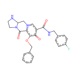 O=C(NCc1ccc(F)cc1)c1cn2c(c(OCc3ccccc3)c1=O)C(=O)N1CCNC1C2